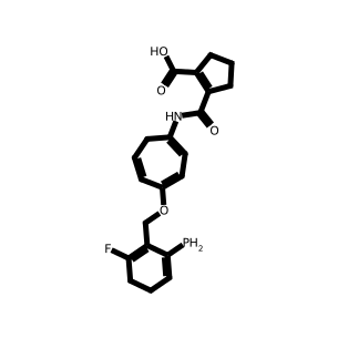 O=C(O)C1=C(C(=O)NC2=CC=C(OCC3=C(F)CCC=C3P)C=CC2)CCC1